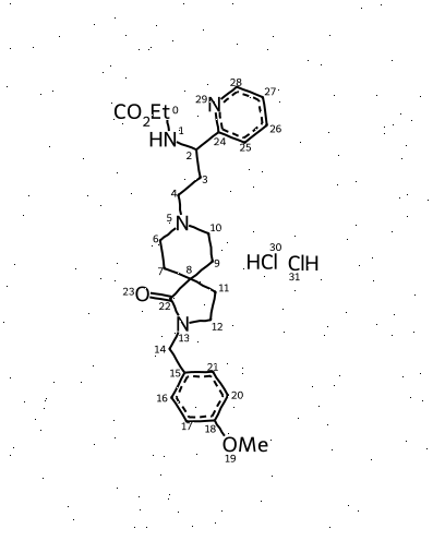 CCOC(=O)NC(CCN1CCC2(CC1)CCN(Cc1ccc(OC)cc1)C2=O)c1ccccn1.Cl.Cl